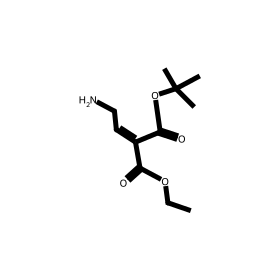 CCOC(=O)C(=CCN)C(=O)OC(C)(C)C